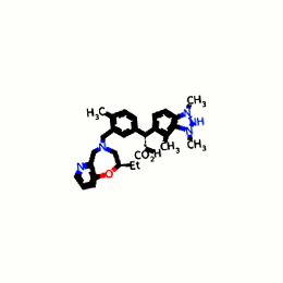 CC[C@@H]1CN(Cc2cc([C@@H](CC(=O)O)c3ccc4c(c3C)N(C)NN4C)ccc2C)Cc2ncccc2O1